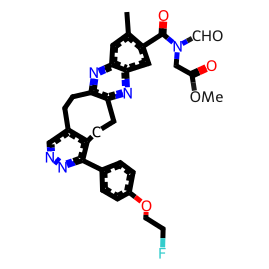 COC(=O)CN(C=O)C(=O)c1cc2nc3c(nc2cc1C)CCc1cnnc(-c2ccc(OCCF)cc2)c1CC3